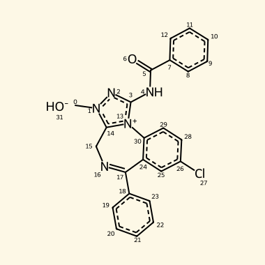 Cn1nc(NC(=O)c2ccccc2)[n+]2c1CN=C(c1ccccc1)c1cc(Cl)ccc1-2.[OH-]